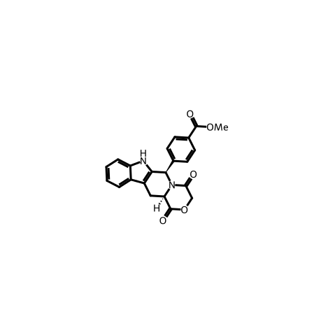 COC(=O)c1ccc([C@@H]2c3[nH]c4ccccc4c3C[C@@H]3C(=O)OCC(=O)N23)cc1